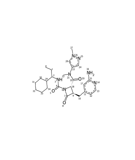 CCC(NC(=O)N1C(=O)[C@H](Cc2ccnc(N)c2)[C@H]1C(=O)N(C)c1cnn(C)c1)C1CCCCC1